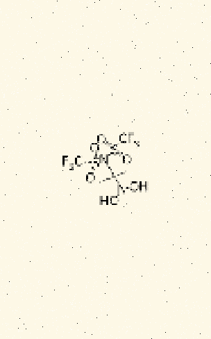 CC(C)(N(O)O)N(S(=O)(=O)C(F)(F)F)S(=O)(=O)C(F)(F)F